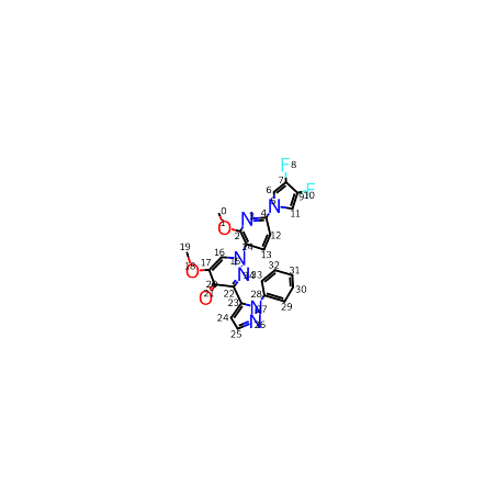 COc1nc(-n2cc(F)c(F)c2)ccc1-n1cc(OC)c(=O)c(-c2ccnn2-c2ccccc2)n1